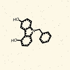 Oc1ccc2c(c1)c1c(O)cccc1n2Cc1ccccc1